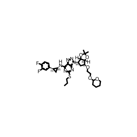 CCCSc1nc(N[C@@H]2C[C@H]2c2ccc(F)c(F)c2)c2nnn([C@@H]3C[C@H](OCCOC4CCCCO4)[C@H]4OC(C)(C)O[C@H]43)c2n1